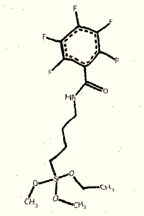 CCO[Si](CCCCNC(=O)c1c(F)c(F)c(F)c(F)c1F)(OC)OC